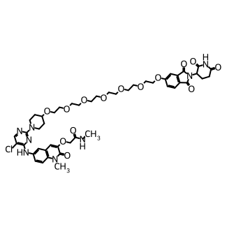 CNC(=O)COc1cc2cc(Nc3nc(N4CCC(OCCOCCOCCOCCOCCOCCOc5ccc6c(c5)C(=O)N(C5CCC(=O)NC5=O)C6=O)CC4)ncc3Cl)ccc2n(C)c1=O